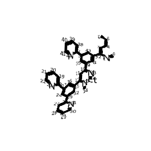 C=N/C(=C\C=C/C)c1cc(C(/C=C(\N=C)c2cc(-c3ccccn3)cc(-c3ccccn3)c2)=N/CC)cc(-c2ccccn2)c1